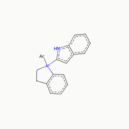 CC(=O)[N+]1(c2cc3ccccc3[nH]2)CCc2ccccc21